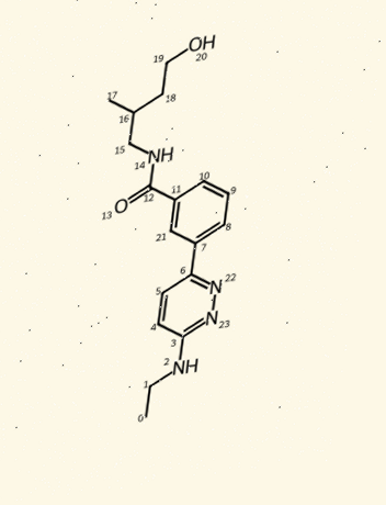 CCNc1ccc(-c2cccc(C(=O)NCC(C)CCO)c2)nn1